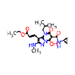 CCOC(=O)/C=C/c1c(NC)nn2c(O)c(C(=O)NC3CC3)c(=O)n(CC(C)C)c12